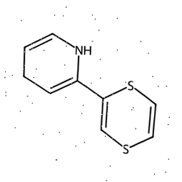 C1=CNC(C2=CSC=CS2)=CC1